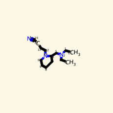 CCN(CC)CC1CCCCN1CCCC#N